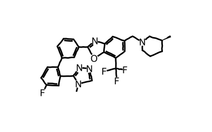 C[C@H]1CCCN(Cc2cc(C(F)(F)F)c3oc(-c4cccc(-c5ccc(F)cc5-c5nncn5C)c4)nc3c2)C1